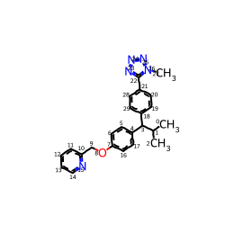 CC(C)C(c1ccc(OCc2ccccn2)cc1)c1ccc(-c2nnnn2C)cc1